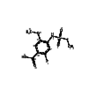 CCS(=O)(=O)Nc1cc(F)c(C(=O)O)cc1OC